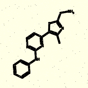 Cc1nc(CN)sc1-c1ccnc(Nc2ccccc2)n1